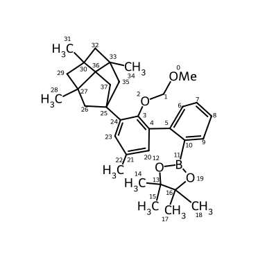 COCOc1c(-c2ccccc2B2OC(C)(C)C(C)(C)O2)cc(C)cc1C12CC3(C)CC4(C)CC(C)(C1)C34C2